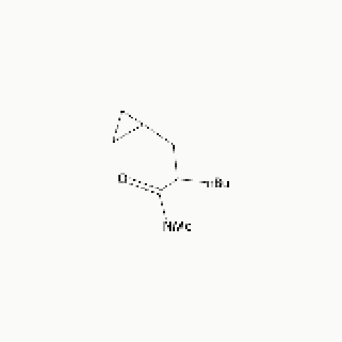 CCCCC(CC1CC1)C(=O)NC